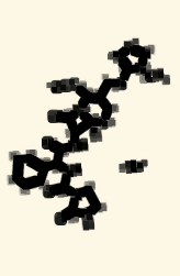 Cn1nnnc1SCC1=C(C(=O)[O-])N2C(=O)C(NC(=O)C(NC(=O)N3CCNC3=O)c3ccccc3)[C@@H]2SC1.[Na+]